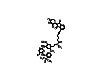 COc1cc(CCN(C)C(=O)CCCC#Cc2cccc3c2C(=O)N(C2CCC(=O)NC2=O)C3=O)c(C)cc1Nc1ncc(Cl)c(Nc2ccccc2P(C)(C)=O)n1